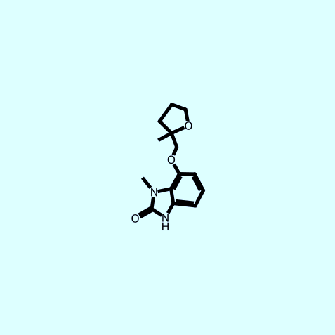 Cn1c(=O)[nH]c2cccc(OCC3(C)CCCO3)c21